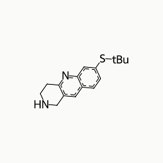 CC(C)(C)Sc1ccc2cc3c(nc2c1)CCNC3